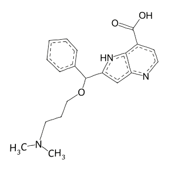 CN(C)CCCOC(c1ccccc1)c1cc2nccc(C(=O)O)c2[nH]1